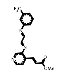 COC(=O)/C=C/c1ccncc1N=CC=Nc1cccc(C(F)(F)F)c1